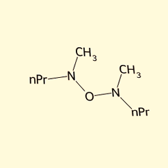 CCCN(C)ON(C)CCC